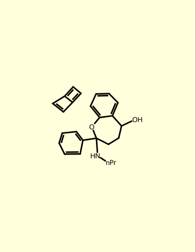 CCCNC1(c2ccccc2)CCC(O)c2ccccc2O1.c1cc2ccc1-2